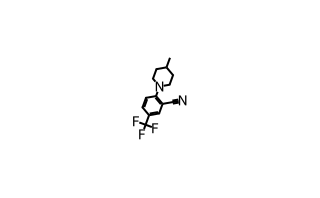 CC1CCN(c2ccc(C(F)(F)F)cc2C#N)CC1